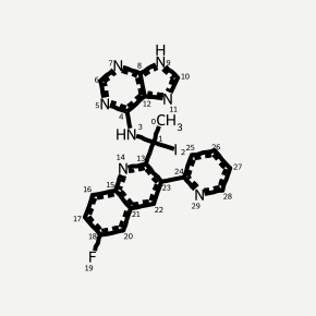 CC(I)(Nc1ncnc2[nH]cnc12)c1nc2ccc(F)cc2cc1-c1ccccn1